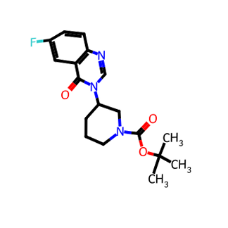 CC(C)(C)OC(=O)N1CCCC(n2cnc3ccc(F)cc3c2=O)C1